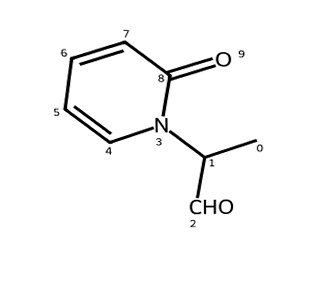 CC(C=O)n1ccccc1=O